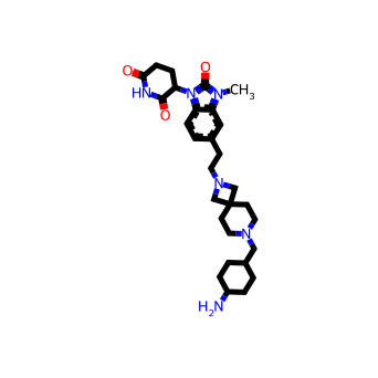 Cn1c(=O)n(C2CCC(=O)NC2=O)c2ccc(CCN3CC4(CCN(CC5CCC(N)CC5)CC4)C3)cc21